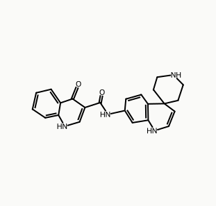 O=C(Nc1ccc2c(c1)NC=CC21CCNCC1)c1c[nH]c2ccccc2c1=O